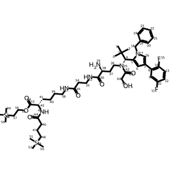 CC(C)(C)[C@H](c1cc(-c2cc(F)ccc2F)cn1Cc1ccccc1)N(CC[C@H](N)C(=O)NCCC(=O)NCCCC[C@H](NC(=O)CCC[Si](C)(C)C)C(=O)OCC[Si](C)(C)C)C(=O)CO